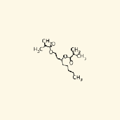 C=C(C)C(=O)OCCC(CCCCC)OC(=O)C(=C)C